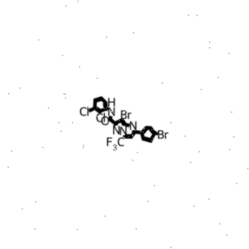 O=C(Nc1cccc(Cl)c1Cl)c1nn2c(C(F)(F)F)cc(-c3ccc(Br)cc3)nc2c1Br